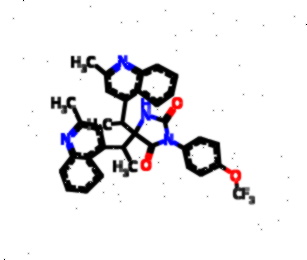 Cc1cc(C(C)C2(C(C)c3cc(C)nc4ccccc34)NC(=O)N(c3ccc(OC(F)(F)F)cc3)C2=O)c2ccccc2n1